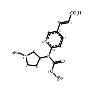 CCCCN1CCC(N(C(=O)OC(C)(C)C)c2ccc(/C=C/C(=O)O)cn2)C1